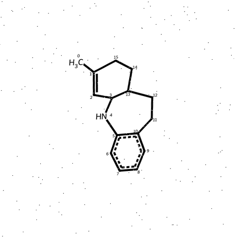 CC1=CC2Nc3ccccc3CCC2CC1